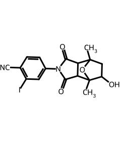 CC12CC(O)C(C)(O1)C1C(=O)N(c3ccc(C#N)c(I)c3)C(=O)C12